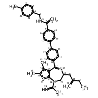 Bc1ccc(CNC(=C)c2ccc(-c3ccc(C4=NC(CC(=C)CC)CN(C(C)=N)c5sc(C)c(C)c54)cc3)cc2)cc1